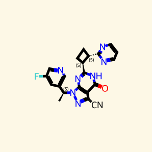 C[C@@H](c1cncc(F)c1)n1nc(C#N)c2c(=O)[nH]c([C@H]3CC[C@@H]3c3ncccn3)nc21